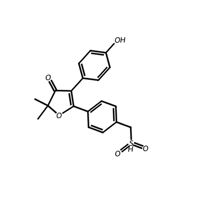 CC1(C)OC(c2ccc(C[SH](=O)=O)cc2)=C(c2ccc(O)cc2)C1=O